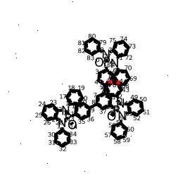 O=P1(c2ccc(-c3cc(-c4ccc(P5(=O)N(c6ccccc6)c6ccccc6N5c5ccccc5)cc4)cc(P4(=O)N(c5ccccc5)c5ccccc5N4c4ccccc4)c3)cc2)N(c2ccccc2)c2ccccc2N1c1ccccc1